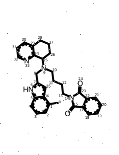 Cc1cccc2[nH]c(CN(CCCCN3C(=O)c4ccccc4C3=O)C3CCCc4cccnc43)cc12